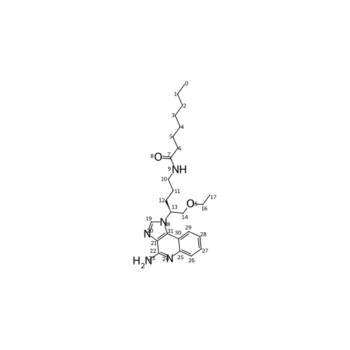 CCCCCCCC(=O)NCCC[C@@H](COCC)n1cnc2c(N)nc3ccccc3c21